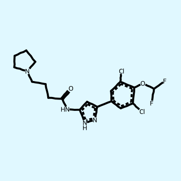 O=C(CCCN1CCCC1)Nc1cc(-c2cc(Cl)c(OC(F)F)c(Cl)c2)n[nH]1